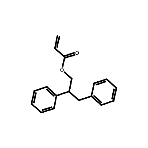 C=CC(=O)OCC(Cc1ccccc1)c1ccccc1